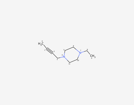 CC#CCN1CCN(CC)CC1